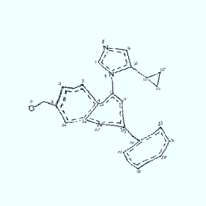 Clc1ccc2c(-n3cncc3C3CC3)cc(-c3ccccc3)nc2c1